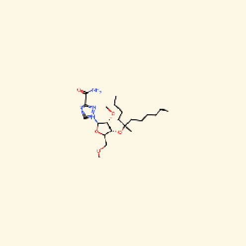 CCCCCCC(C)(CCCC)O[C@H]1[C@@H](OC)[C@H](n2cnc(C(N)=O)n2)O[C@@H]1COC